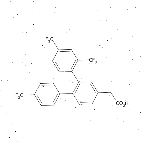 O=C(O)Cc1ccc(-c2ccc(C(F)(F)F)cc2)c(-c2ccc(C(F)(F)F)cc2C(F)(F)F)c1